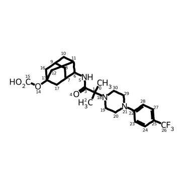 CC(C)(C(=O)NC1C2CC3CC1CC(OC(=O)O)(C3)C2)N1CCN(c2ccc(C(F)(F)F)cc2)CC1